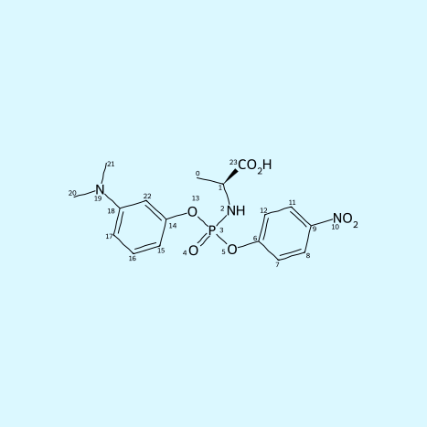 C[C@H](NP(=O)(Oc1ccc([N+](=O)[O-])cc1)Oc1cccc(N(C)C)c1)C(=O)O